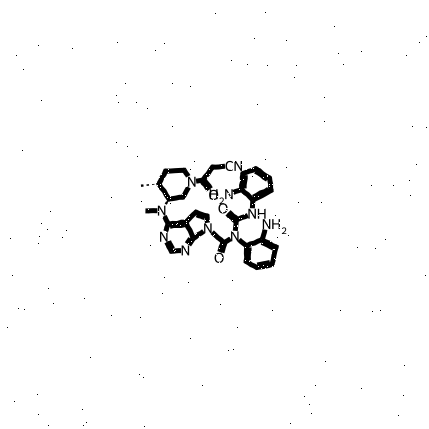 C[C@@H]1CCN(C(=O)CC#N)C[C@@H]1N(C)c1ncnc2c1ccn2C(=O)N(C(=O)Nc1ccccc1N)c1ccccc1N